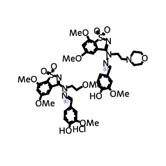 COCCN(/N=C/c1ccc(O)c(OC)c1)C1=NS(=O)(=O)c2c(OC)cc(OC)cc21.COc1cc(OC)c2c(c1)C(N(CCN1CCOCC1)/N=C/c1ccc(O)c(OC)c1)=NS2(=O)=O.Cl